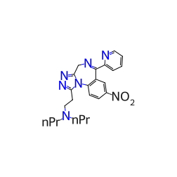 CCCN(CCC)CCc1nnc2n1-c1ccc([N+](=O)[O-])cc1C(c1ccccn1)=NC2